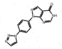 O=c1[nH]cnc2c1cnn2-c1ccc(-n2ccnn2)cc1